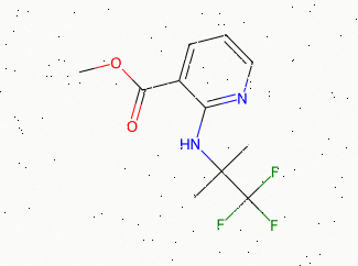 COC(=O)c1cccnc1NC(C)(C)C(F)(F)F